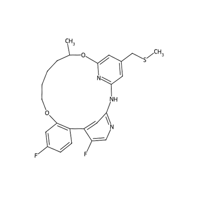 CSCc1cc2nc(c1)OC(C)CCCCOc1cc(F)ccc1-c1cc(ncc1F)N2